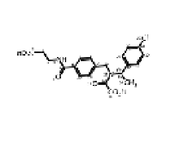 CCCCCCCCCCCCNC(=O)c1ccc(CN(C(=O)C(=O)O)[C@H](C)c2ccc(Cl)cc2)cc1